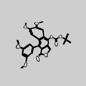 COc1cc(OC)cc(-c2c3c(c(OC(=O)OC(C)(C)C)c4cc(OC)c(OC)cc24)COC3=O)c1